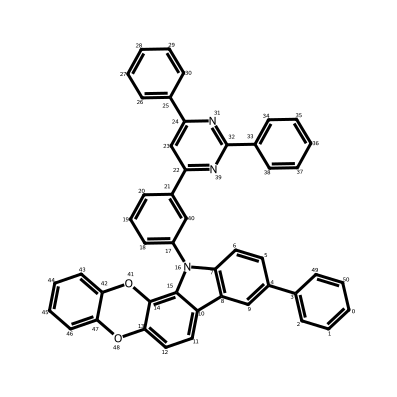 c1ccc(-c2ccc3c(c2)c2ccc4c(c2n3-c2cccc(-c3cc(-c5ccccc5)nc(-c5ccccc5)n3)c2)Oc2ccccc2O4)cc1